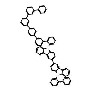 c1ccc(-c2cccc(-c3cccc(-c4ccc(-c5cccc(-c6ccccc6-n6c7ccccc7c7cc(-c8ccc9c(c8)c8ccccc8n9-c8ccccc8-c8ccccc8)ccc76)c5)cc4)c3)c2)cc1